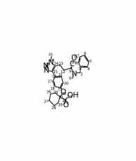 CN(Cc1ccccc1)C(=C=O)CCc1c(-c2ccc(OC3(C(=O)O)CCCCC3)cc2)nnn1C